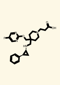 O=C(O)CCN1CCC(CN[C@@H]2C[C@H]2c2ccccc2)(COc2ncc(F)cn2)CC1